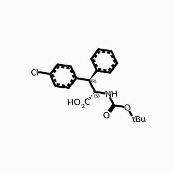 CC(C)(C)OC(=O)N[C@H](C(=O)O)[C@H](c1ccccc1)c1ccc(Cl)cc1